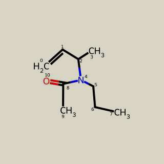 C=CC(C)N(CCC)C(C)=O